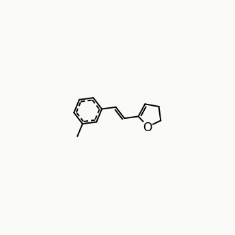 Cc1cccc(C=CC2=CCCO2)c1